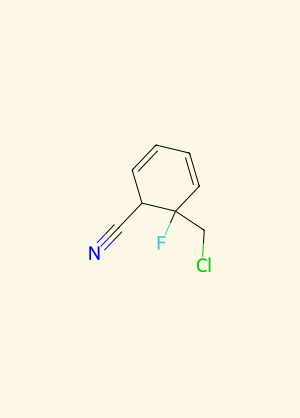 N#CC1C=CC=CC1(F)CCl